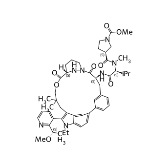 CCn1c(-c2cccnc2[C@H](C)OC)c2c3cc(ccc31)-c1cccc(c1)C[C@H](NC(=O)[C@H](C(C)C)N(C)C(=O)[C@H]1CCN(C(=O)OC)C1)C(=O)N1CCC[C@H](N1)C(=O)OCC(C)(C)C2